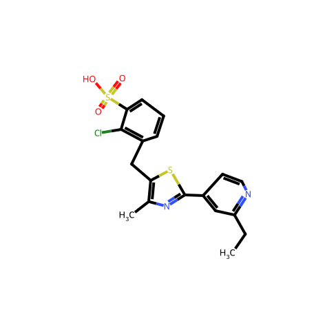 CCc1cc(-c2nc(C)c(Cc3cccc(S(=O)(=O)O)c3Cl)s2)ccn1